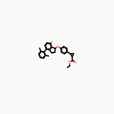 CCOC(=O)C1CC1c1ccc(OC2CCc3c(-c4c(C)cccc4C)ccc(F)c32)cc1